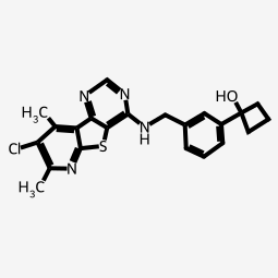 Cc1nc2sc3c(NCc4cccc(C5(O)CCC5)c4)ncnc3c2c(C)c1Cl